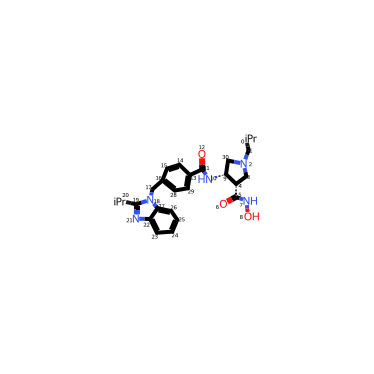 CC(C)CN1C[C@H](C(=O)NO)[C@H](NC(=O)c2ccc(Cn3c(C(C)C)nc4ccccc43)cc2)C1